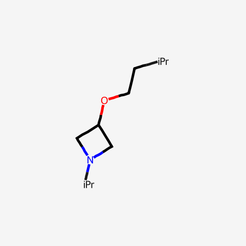 CC(C)CCOC1CN(C(C)C)C1